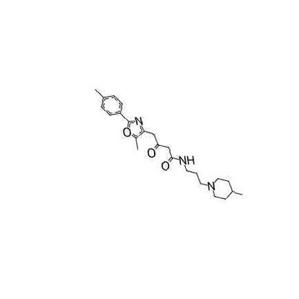 Cc1ccc(-c2nc(CC(=O)CC(=O)NCCCN3CCC(C)CC3)c(C)o2)cc1